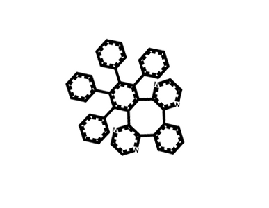 c1ccc(-c2c(-c3ccccc3)c(-c3ccccc3)c3c(c2-c2ccccc2)-c2nccnc2-c2ccccc2-c2nccnc2-3)cc1